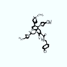 CC1CN(C(=O)Cn2c(=O)c(C(=O)NCc3ccc(Cl)cc3)cc3c(N4CC(O)C4)c(-c4cnn(C)c4)cnc32)C1